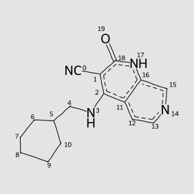 N#Cc1c(NCC2CCCCC2)c2ccncc2[nH]c1=O